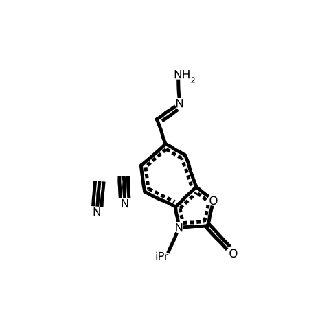 C#N.C#N.CC(C)n1c(=O)oc2cc(C=NN)ccc21